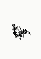 CCOC(=O)[C@@H](NC(=O)c1cnc(-c2cccc(-c3cc(C(O)N[C@@H](CC(C)C)C(=O)OC)n[nH]3)c2)o1)C(C)C